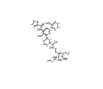 CC(C)(C)N(C(=O)O)C(NCCNC(=O)c1cccc(-c2cc(-c3ccccc3O)nc(NC(=O)c3cccs3)c2C#N)c1)(NC(=O)O)C(C)(C)C